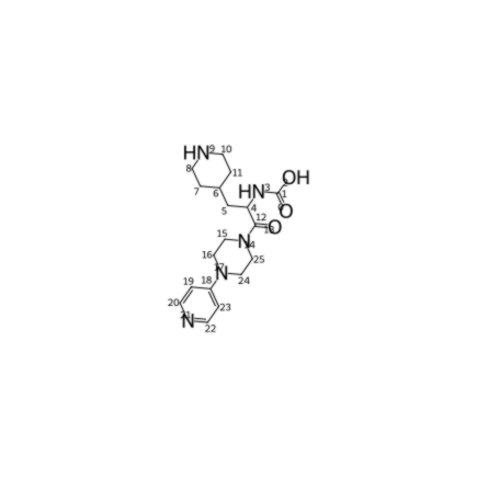 O=C(O)NC(CC1CCNCC1)C(=O)N1CCN(c2ccncc2)CC1